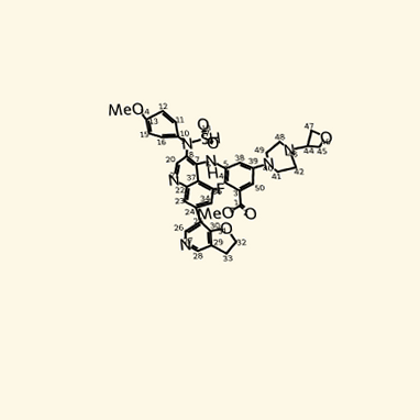 COC(=O)c1cc(Nc2c(N(c3ccc(OC)cc3)[SH](=O)=O)cnc3cc(-c4cncc5c4OCC5)cc(F)c23)cc(N2CCN(C3COC3)CC2)c1